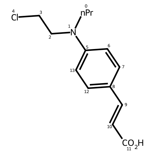 CCCN(CCCl)c1ccc(C=CC(=O)O)cc1